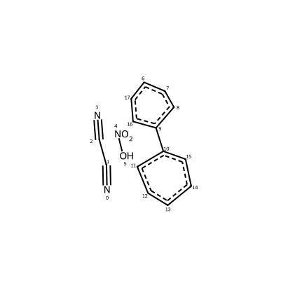 N#CC#N.O=[N+]([O-])O.c1ccc(-c2ccccc2)cc1